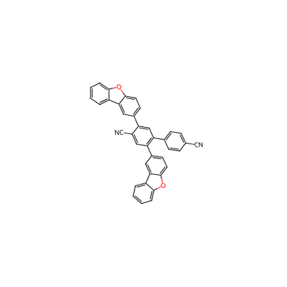 N#Cc1ccc(-c2cc(-c3ccc4oc5ccccc5c4c3)c(C#N)cc2-c2ccc3oc4ccccc4c3c2)cc1